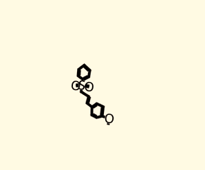 COc1ccc(/C=C/CS(=O)(=O)c2ccccc2)cc1